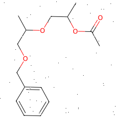 CC(=O)OC(C)COC(C)COCc1ccccc1